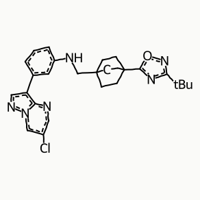 CC(C)(C)c1noc(C23CCC(CNc4cccc(-c5cnn6cc(Cl)cnc56)c4)(CC2)CC3)n1